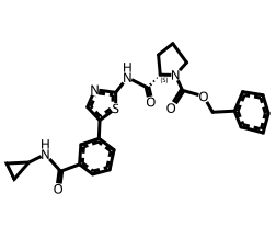 O=C(NC1CC1)c1cccc(-c2cnc(NC(=O)[C@@H]3CCCN3C(=O)OCc3ccccc3)s2)c1